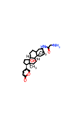 C[C@]12CC[C@H](NC(=O)CN)CC1CC[C@@H]1[C@@H]2CC[C@]2(C)[C@@H](c3ccc(=O)oc3)CC[C@]12O